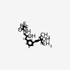 CCC(O)(C#Cc1cccc(CC(O)CNC(=O)C(F)(F)F)c1)CC